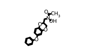 CC(=O)N(O)CC1COc2cc(Oc3ccccc3)ccc2O1